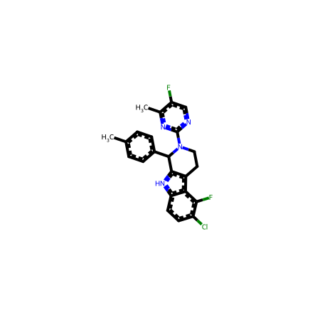 Cc1ccc(C2c3[nH]c4ccc(Cl)c(F)c4c3CCN2c2ncc(F)c(C)n2)cc1